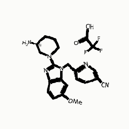 COc1ccc2nc(N3CCC[C@H](N)C3)n(Cc3ccc(C#N)cn3)c2c1.O=C(O)C(F)(F)F